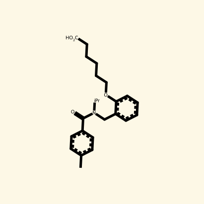 Cc1ccc(C(=O)N(Cc2ccccc2OCCCCCC(=O)O)C(C)C)cc1